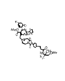 COCC(C)(C)NC(=O)CCc1ccc(N2C[C@@H]3CN(CC4=C(C(=O)OC)[C@H](c5ccc(F)cc5Cl)N=C(c5nccs5)N4)CCN3C2=O)cc1